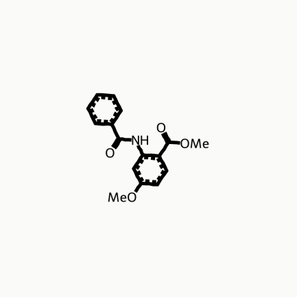 COC(=O)c1ccc(OC)cc1NC(=O)c1ccccc1